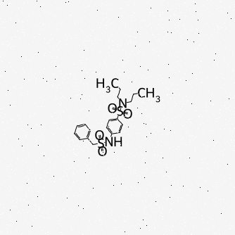 CCCN(CCC)S(=O)(=O)c1ccc(NS(=O)(=O)Cc2ccccc2)cc1